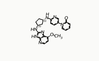 COc1ccnc2[nH]c(N[C@H]3CC[C@H](Nc4ccc(-n5ccccc5=O)cn4)C3)nc12